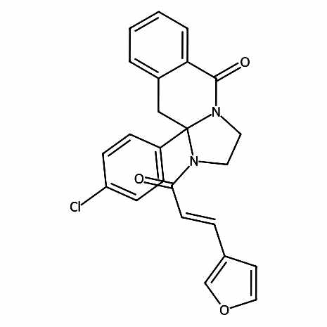 O=C(/C=C/c1ccoc1)N1CCN2C(=O)c3ccccc3CC12c1ccc(Cl)cc1